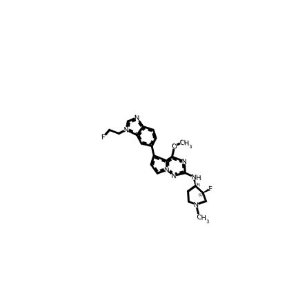 COc1nc(N[C@@H]2CCN(C)C[C@@H]2F)nn2ccc(-c3ccc4ncn(CCF)c4c3)c12